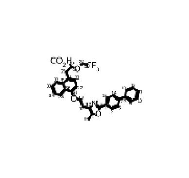 Cc1oc(-c2ccc(-c3ccccc3)cc2)nc1CCOc1ccc(CC(OCC(F)(F)F)C(=O)O)c2ccccc12